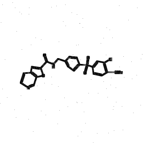 COc1ccc(S(=O)(=O)c2ccc(CNC(=O)c3cc4ccncc4o3)cc2)cc1Cl